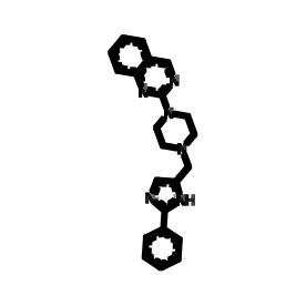 c1ccc(-c2ncc(CN3CCN(c4ncc5ccccc5n4)CC3)[nH]2)cc1